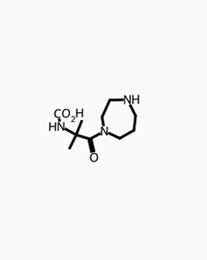 CC(C)(NC(=O)O)C(=O)N1CCCNCC1